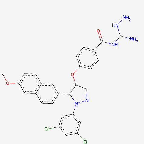 COc1ccc2cc(C3C(Oc4ccc(C(=O)NC(N)NN)cc4)C=NN3c3cc(Cl)cc(Cl)c3)ccc2c1